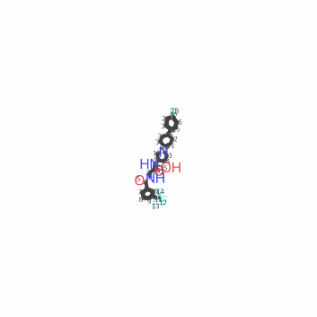 O=C(CNC(=O)c1cccc(C(F)(F)F)c1)N[C@H]1CN(C2CCC(c3ccc(F)cc3)CC2)CC1O